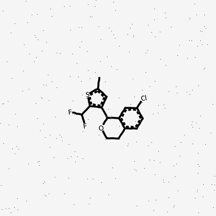 Cc1cc(C2OCCc3ccc(Cl)cc32)c(C(F)F)s1